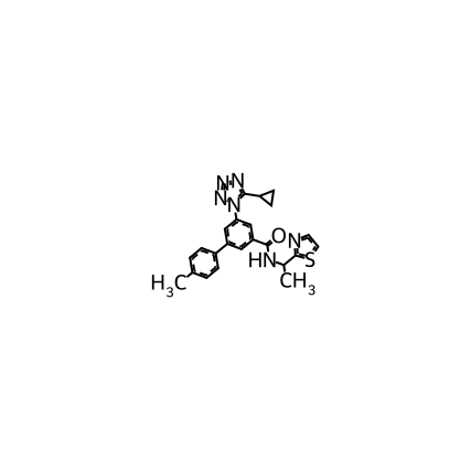 Cc1ccc(-c2cc(C(=O)NC(C)c3nccs3)cc(-n3nnnc3C3CC3)c2)cc1